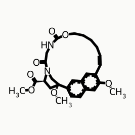 COC(=O)[C@@H]1C[C@]2(OC)CN1C(=O)CNC(=O)OCCCCC=Cc1cc3cc2ccc3cc1OC